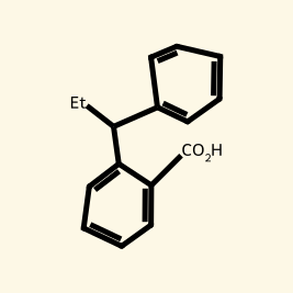 CCC(c1ccccc1)c1ccccc1C(=O)O